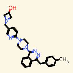 CC1C=CC(Cc2nnc(N3CCN(c4ccc(CN5CC(O)C5)cn4)CC3)c3ccccc23)=CC1